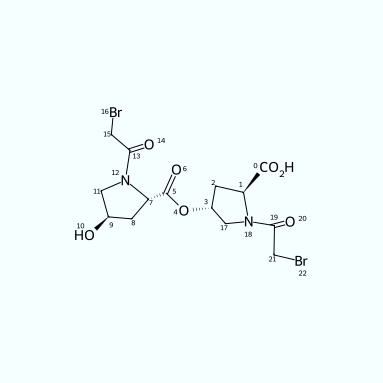 O=C(O)[C@@H]1C[C@@H](OC(=O)[C@@H]2C[C@@H](O)CN2C(=O)CBr)CN1C(=O)CBr